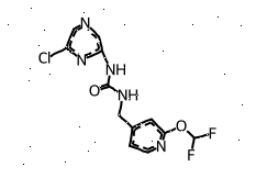 O=C(NCc1ccnc(OC(F)F)c1)Nc1cncc(Cl)n1